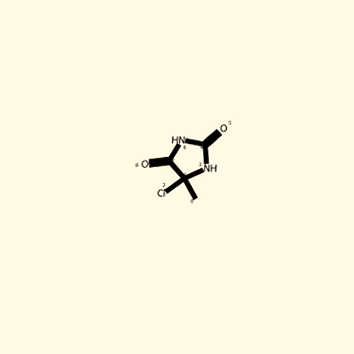 CC1(Cl)NC(=O)NC1=O